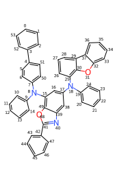 c1ccc(-c2ccc(N(c3ccccc3)c3cc(N(c4ccccc4)c4cccc5c4oc4ccccc45)cc4nc(-c5ccccc5)oc34)cc2)cc1